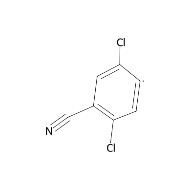 N#Cc1cc(Cl)[c]cc1Cl